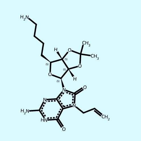 C=CCn1c(=O)n([C@H]2O[C@@H](CCCCN)[C@@H]3OC(C)(C)O[C@@H]32)c2nc(N)[nH]c(=O)c21